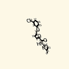 Cc1csc(NC(=O)c2ccc(COc3cccc(Cl)c3)o2)n1